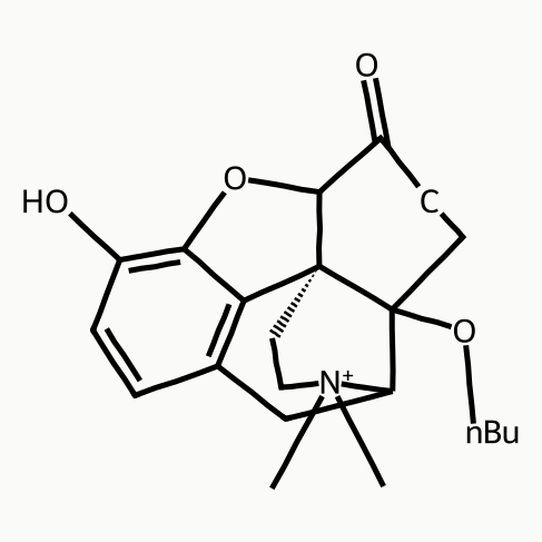 CCCCOC12CCC(=O)C3Oc4c(O)ccc5c4[C@@]31CC[N+](C)(C)C2C5